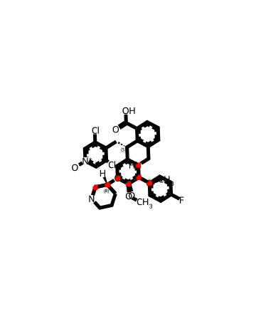 COc1ccc([C@H](Cc2c(Cl)c[n+]([O-])cc2Cl)c2c(CNC(C(=O)O[C@H]3CN4CCC3CC4)c3ccc(F)cc3)cccc2C(=O)O)cc1OC